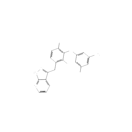 N#Cc1cc(Cl)cc(Oc2c(Br)ccc(Cc3n[nH]c4ncccc34)c2F)c1